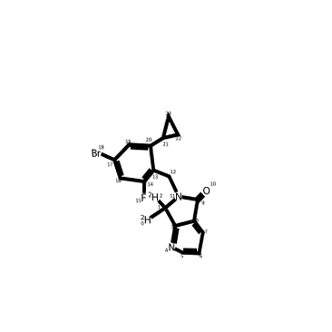 [2H]C1([2H])c2ncccc2C(=O)N1Cc1c(F)cc(Br)cc1C1CC1